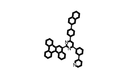 c1cncc(-c2cccc(-c3cc(-c4ccc(-c5ccc6ccccc6c5)cc4)nc(-c4cc5c6ccccc6c6ccccc6c5c5ccccc45)n3)c2)c1